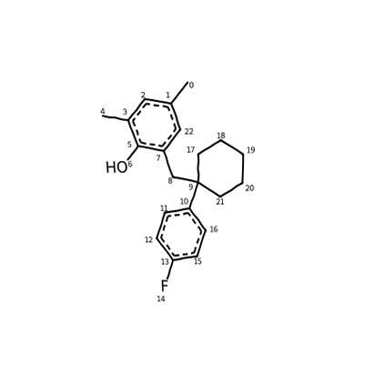 Cc1cc(C)c(O)c(CC2(c3ccc(F)cc3)CCCCC2)c1